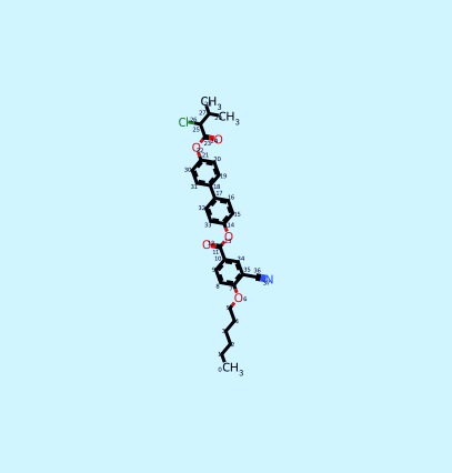 CCCCCCOc1ccc(C(=O)Oc2ccc(-c3ccc(OC(=O)C(Cl)C(C)C)cc3)cc2)cc1C#N